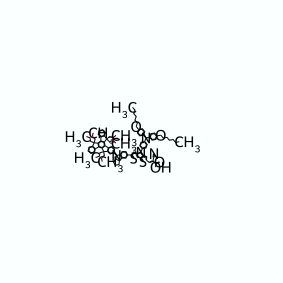 CCCCCCOc1ccc(N(c2ccc(OCCCCCC)cc2)c2ccc(-n3c4cc(/C=C(\C#N)C(=O)O)sc4c4sc(-c5ccc6c(c5)C5CCCC5N6c5ccc6c(c5)C(CCC)(CCC)c5c7c(c8c(c5-6)C(CCC)(CCC)c5ccccc5-8)C(CCC)(CCC)c5ccccc5-7)cc43)cc2)cc1